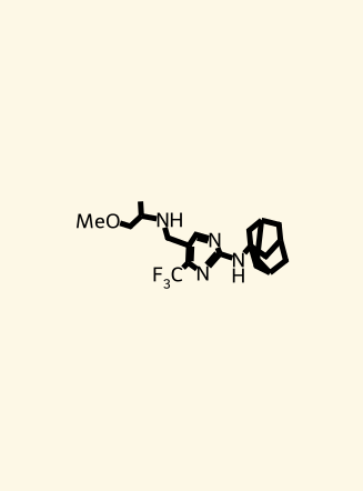 COCC(C)NCc1cnc(NC23CC4CC(CC(C4)C2)C3)nc1C(F)(F)F